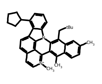 Cc1ccc2c(C)c3c(c(CC(C)(C)C)c2c1)n1c2cccc(C4CCCC4)c2c2ccc4cc[n+](C)c3c4c21